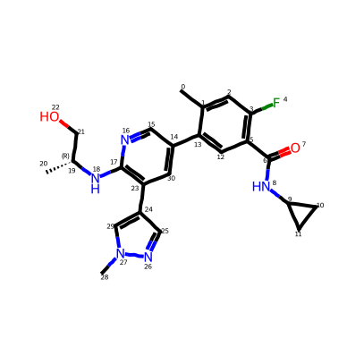 Cc1cc(F)c(C(=O)NC2CC2)cc1-c1cnc(N[C@H](C)CO)c(-c2cnn(C)c2)c1